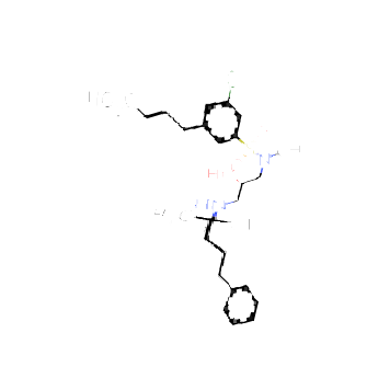 CN(C[C@H](O)CNC(C)(C)CCCc1ccccc1)S(=O)(=O)c1cc(Cl)cc(CCCC(=O)O)c1